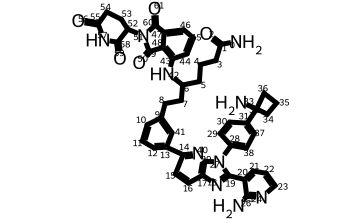 NC(=O)CCCC(CCc1cccc(-c2ccc3nc(-c4cccnc4N)n(-c4ccc(C5(N)CCC5)cc4)c3n2)c1)Nc1cccc2c1C(=O)N(C1CCC(=O)NC1=O)C2=O